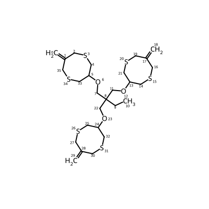 C=C1CSCC(OCC(CC)(COC2CSCC(=C)CSC2)COC2CSCC(=C)CSC2)CSC1